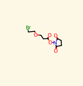 O=C(CCOCCBr)ON1C(=O)CCC1=O